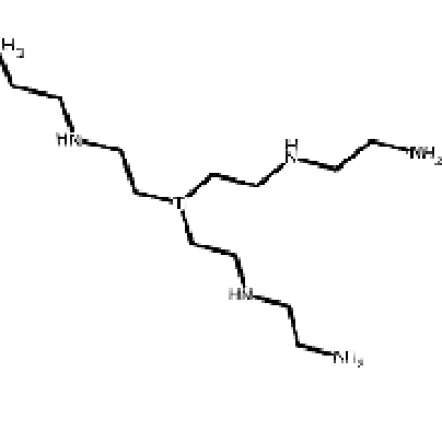 NCCNC[CH2][Ti]([CH2]CNCCN)[CH2]CNCCN